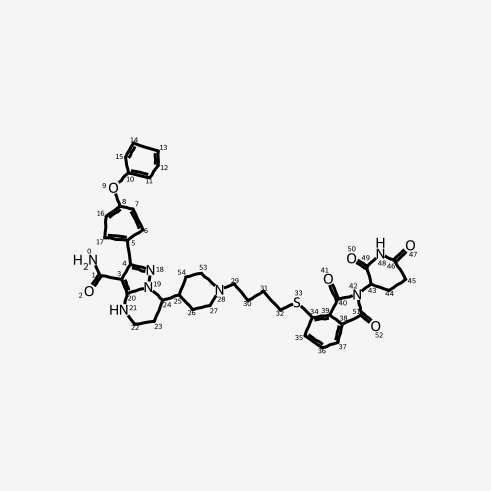 NC(=O)c1c(-c2ccc(Oc3ccccc3)cc2)nn2c1NCCC2C1CCN(CCCCSc2cccc3c2C(=O)N(C2CCC(=O)NC2=O)C3=O)CC1